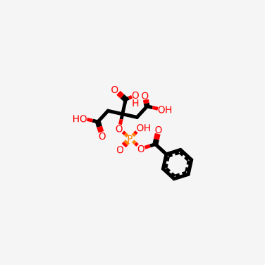 O=C(O)CC(CC(=O)O)(OP(=O)(O)OC(=O)c1ccccc1)C(=O)O